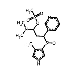 Cc1c[nH]cc1[S+]([O-])C(CC(OS(C)(=O)=O)N(C)C)c1cccnc1